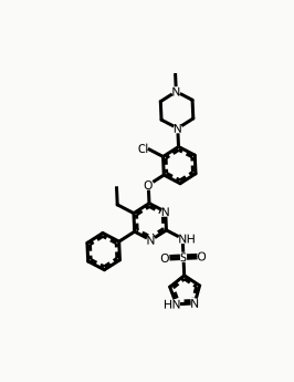 CCc1c(Oc2cccc(N3CCN(C)CC3)c2Cl)nc(NS(=O)(=O)c2cn[nH]c2)nc1-c1ccccc1